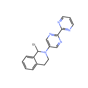 CCC1c2ccccc2CCN1c1cnc(-c2ncccn2)nc1